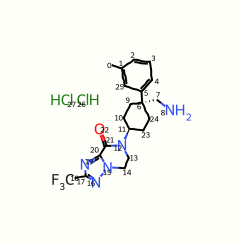 Cc1cccc([C@]2(CN)CC[C@H](N3CCn4nc(C(F)(F)F)nc4C3=O)CC2)c1.Cl.Cl